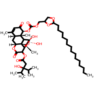 CCCCCCCCCCCCCCCC1OCC(COC(=O)O[C@@H]2C(=O)C=C(C)[C@H]3C[C@H]4OC(=O)C(OC(=O)CC(O)(C(C)C)C(C)C)C5[C@@H](C)[C@@H](O)[C@@]6(O)OC[C@@]54C6[C@]32C)O1